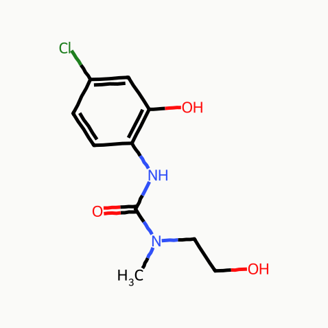 CN(CCO)C(=O)Nc1ccc(Cl)cc1O